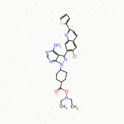 CCN(CC)OC(=O)C1CCC(n2nc(-c3cc4nc(-c5cccs5)ccc4cc3Cl)c3c(N)ncnc32)CC1